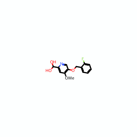 COc1cc(C(O)O)ncc1OCc1ccccc1F